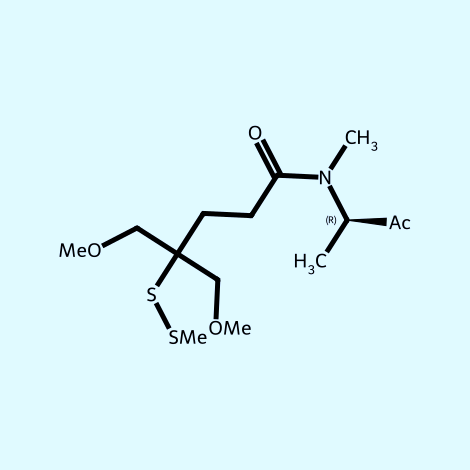 COCC(CCC(=O)N(C)[C@H](C)C(C)=O)(COC)SSC